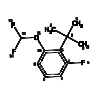 CC(C)(C)c1c(F)cccc1OC(F)F